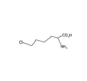 NC(CCCCCl)C(=O)O